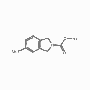 CSc1ccc2c(c1)CN(C(=O)OC(C)(C)C)C2